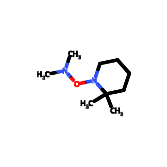 CN(C)ON1CCCCC1(C)C